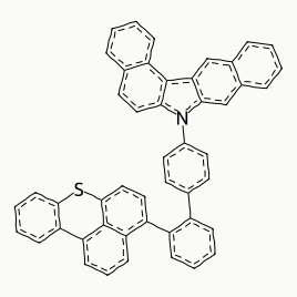 c1ccc2c(c1)Sc1ccc(-c3ccccc3-c3ccc(-n4c5cc6ccccc6cc5c5c6ccccc6ccc54)cc3)c3cccc-2c13